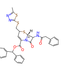 Cc1nnc(SCC2C=C(C(=O)OC(c3ccccc3)c3ccccc3)N3C(=O)C(NC(=O)Cc4ccccc4)[C@H]3S2)s1